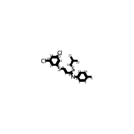 Cc1ccc(N=C(C=CSc2cc(Cl)cc(Cl)c2)SCC(C)C)cc1